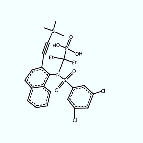 CCC(CC)(N(c1c(C#C[Si](C)(C)C)ccc2ccccc12)S(=O)(=O)c1cc(Cl)cc(Cl)c1)P(=O)(O)O